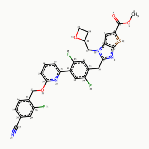 COC(=O)c1cc2c(nc(Cc3cc(F)c(-c4cccc(OCc5ccc(C#N)cc5F)n4)cc3F)n2CC2CCO2)s1